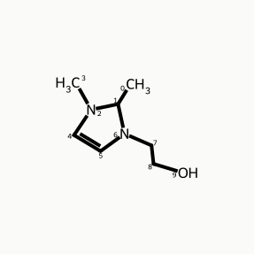 CC1N(C)C=CN1CCO